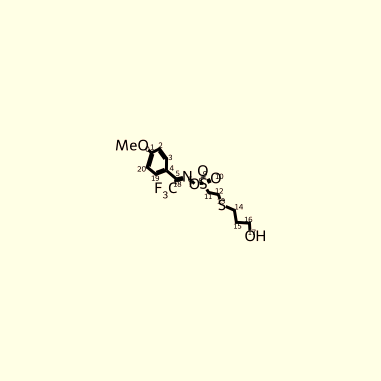 COc1ccc(C(=NOS(=O)(=O)CCSCCCO)C(F)(F)F)cc1